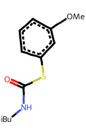 CCC(C)NC(=O)Sc1cccc(OC)c1